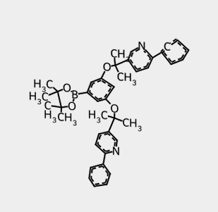 CC(C)(Oc1cc(OC(C)(C)c2ccc(-c3ccccc3)nc2)cc(B2OC(C)(C)C(C)(C)O2)c1)c1ccc(-c2ccccc2)nc1